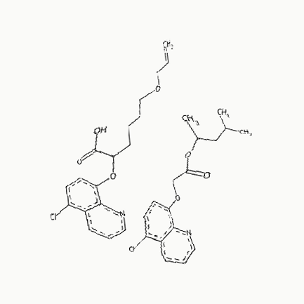 C=CCOCCCCC(Oc1ccc(Cl)c2cccnc12)C(=O)O.CC(C)CC(C)OC(=O)COc1ccc(Cl)c2cccnc12